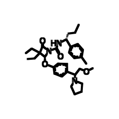 CCC[C@@H](NC(=O)N1C(=O)C(CC)(CC)[C@@H]1Oc1ccc(C(COC)N2CCCC2)cc1)c1ccc(C)cc1